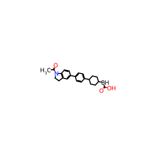 CC(=O)N1CCc2cc(-c3ccc(C4CCC(BC(=O)O)CC4)cc3)ccc21